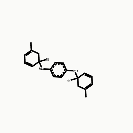 CCC1(Nc2ccc(NC3(CC)C=CC=C(C)C3)cc2)C=CC=C(C)C1